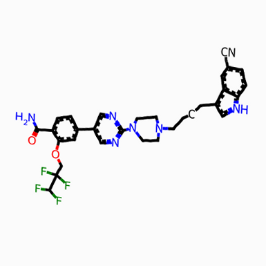 N#Cc1ccc2[nH]cc(CCCCN3CCN(c4ncc(-c5ccc(C(N)=O)c(OCC(F)(F)C(F)F)c5)cn4)CC3)c2c1